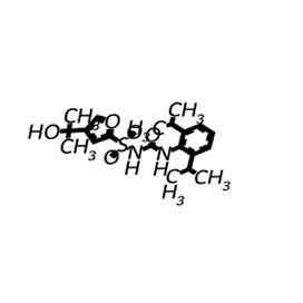 CC(C)c1cccc(C(C)C)c1NC(=O)NS(=O)(=O)c1cc(C(C)(C)O)co1